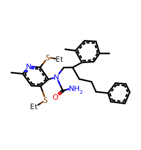 CCSc1cc(C)nc(SCC)c1N(CC(CCCc1ccccc1)c1cc(C)ccc1C)C(N)=O